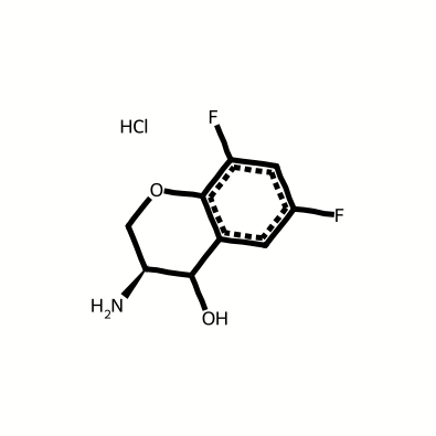 Cl.N[C@H]1COc2c(F)cc(F)cc2C1O